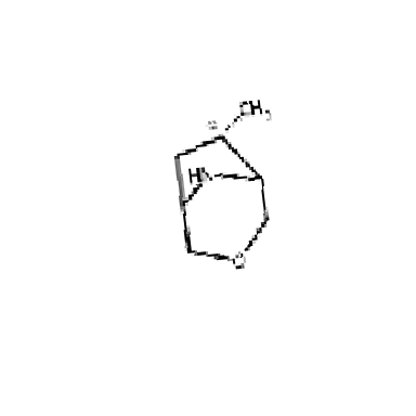 C[C@H]1CC2COCC1N2